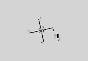 I.[CH3][Sn]([CH3])([CH3])[CH3]